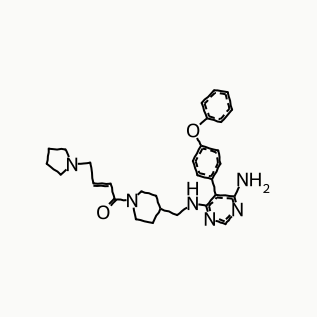 Nc1ncnc(NCC2CCN(C(=O)C=CCN3CCCC3)CC2)c1-c1ccc(Oc2ccccc2)cc1